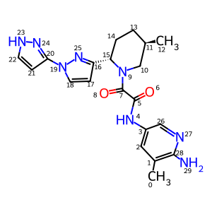 Cc1cc(NC(=O)C(=O)N2C[C@H](C)CC[C@H]2c2ccn(-c3cc[nH]n3)n2)cnc1N